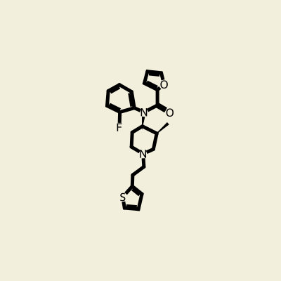 C[C@H]1CN(CCc2cccs2)CC[C@H]1N(C(=O)c1ccco1)c1ccccc1F